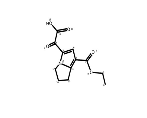 CCOC(=O)c1cc(C(=O)C(=O)O)n2c1CCC2